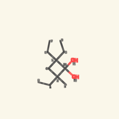 CCC1(C)CC(CC)(CC)C1(O)O